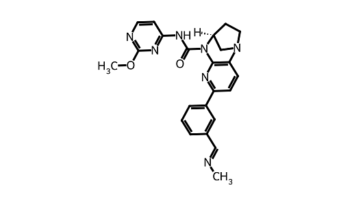 C/N=C/c1cccc(-c2ccc3c(n2)N(C(=O)Nc2ccnc(OC)n2)[C@H]2CCN3C2)c1